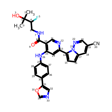 CC(C)(O)C(F)CNC(=O)c1cnc(-c2ccc3cc(C#N)cnn23)cc1Nc1ccc(-c2cnco2)cc1